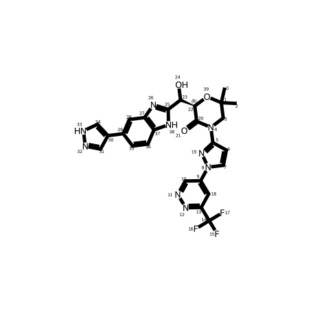 CC1(C)CN(c2ccn(-c3cnnc(C(F)(F)F)c3)n2)C(=O)[C@@H](C(O)c2nc3cc(-c4cn[nH]c4)ccc3[nH]2)O1